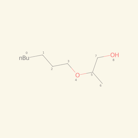 CCCCCCCOC(C)CO